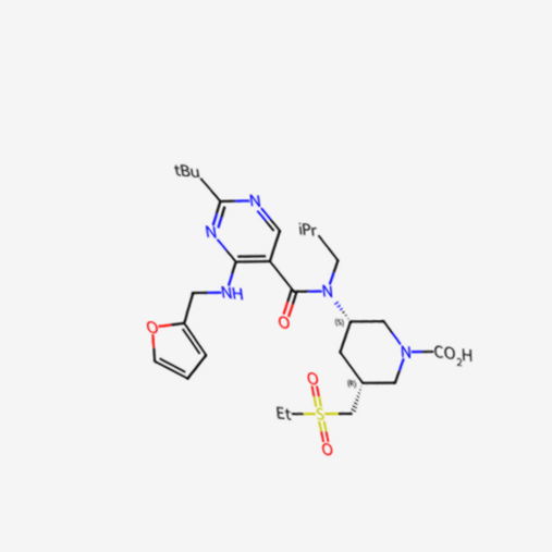 CCS(=O)(=O)C[C@@H]1C[C@H](N(CC(C)C)C(=O)c2cnc(C(C)(C)C)nc2NCc2ccco2)CN(C(=O)O)C1